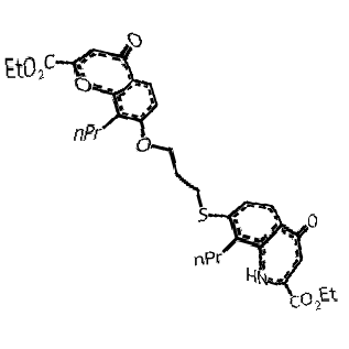 CCCc1c(SCCCOc2ccc3c(=O)cc(C(=O)OCC)oc3c2CCC)ccc2c(=O)cc(C(=O)OCC)[nH]c12